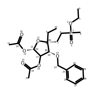 CCOP(C)(=O)CC[C@@]1(CC)O[C@@H](OC(C)=O)C(OC(C)=O)[C@H]1OCc1ccccc1